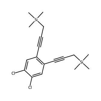 C[Si](C)(C)CC#Cc1cc(Cl)c(Cl)cc1C#CC[Si](C)(C)C